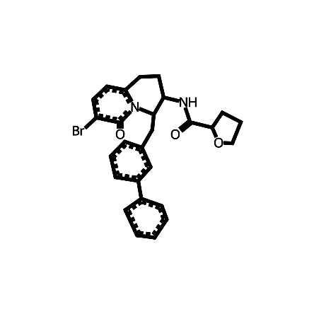 O=C(NC1CCc2ccc(Br)c(=O)n2C1Cc1cccc(-c2ccccc2)c1)C1CCCO1